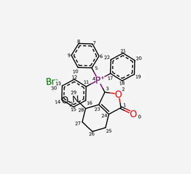 O=C1OC([P+](c2ccccc2)(c2ccccc2)c2ccccc2)C2=C1CCCC2[N+](=O)[O-].[Br-]